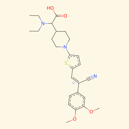 CCN(CC)C(C(=O)O)C1CCN(c2ccc(/C=C(\C#N)c3ccc(OC)c(OC)c3)s2)CC1